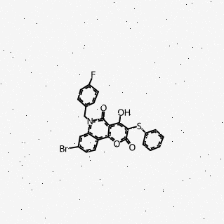 O=c1oc2c(c(O)c1Sc1ccccc1)c(=O)n(Cc1ccc(F)cc1)c1cc(Br)ccc21